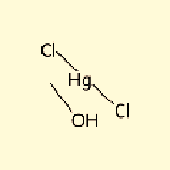 CO.[Cl][Hg][Cl]